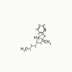 CCCCCCC(C)(C)Cc1ccccn1